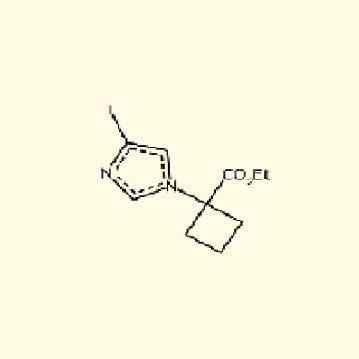 CCOC(=O)C1(n2cnc(I)c2)CCC1